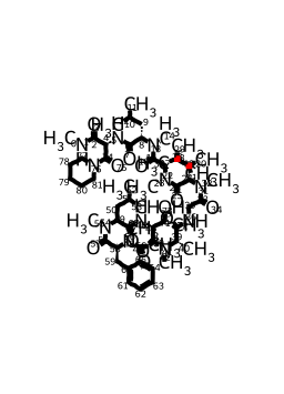 CNC(=O)[C@H](NC(=O)[C@H](CC(C)C)N(C)C(=O)[C@H](CC(C)C)N(C)C(=O)[C@H](CC(C)C)N(C)C(=O)CNC(=O)[C@H](C)N(C)C(=O)[C@@H](NC(=O)C(CC(C)C)N(C)C(=O)[C@H](Cc1ccccc1)N(C)C(C)=O)[C@@H](C)O)C(=O)N1CCCCC1